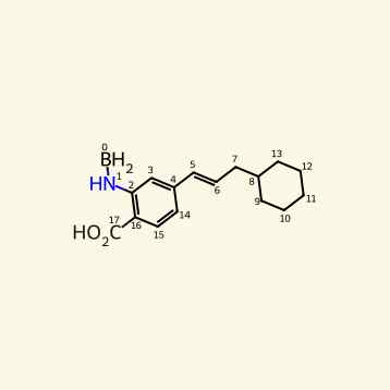 BNc1cc(/C=C/CC2CCCCC2)ccc1C(=O)O